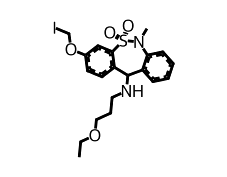 CCOCCCNC1c2ccccc2N(C)S(=O)(=O)c2cc(OCI)ccc21